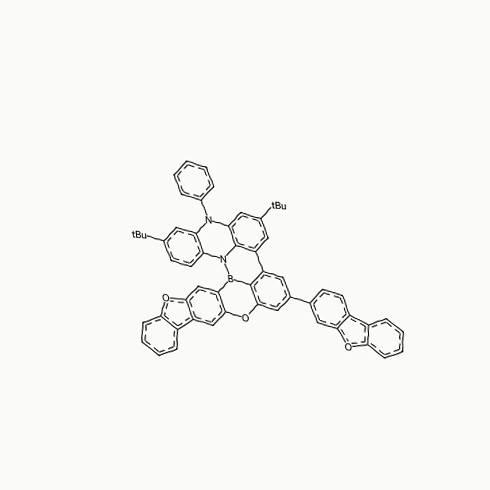 CC(C)(C)c1ccc2c(c1)N(c1ccccc1)c1cc(C(C)(C)C)cc3c1N2B1c2cc4oc5ccccc5c4cc2Oc2cc(-c4ccc5c(c4)oc4ccccc45)cc-3c21